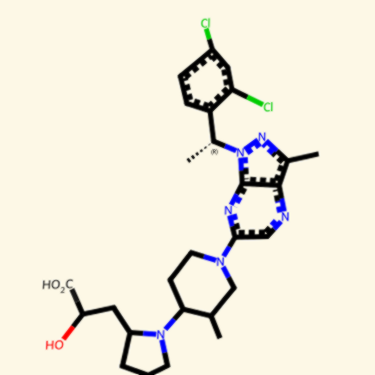 Cc1nn([C@H](C)c2ccc(Cl)cc2Cl)c2nc(N3CCC(N4CCCC4CC(O)C(=O)O)C(C)C3)cnc12